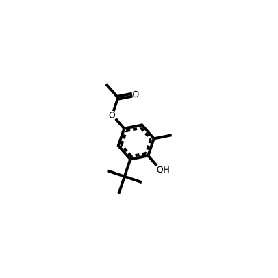 CC(=O)Oc1cc(C)c(O)c(C(C)(C)C)c1